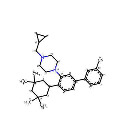 CC1(C)CC(c2ccc(-c3cccc(C#N)c3)cc2N2CCN(CC3CC3)CC2)CC(C)(C)C1